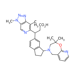 Cc1c(C(CC(=O)O)c2ccc3c(c2)C(N2Cc4cccnc4OC(C)(C)C2)CC3)ncc2c1nnn2C